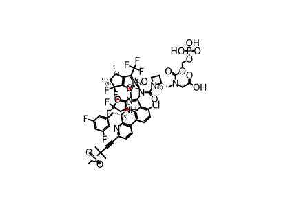 C[C@@H]1c2c(C(F)(F)F)nn(CC(=O)N[C@@H](Cc3cc(F)cc(F)c3)c3nc(C#CC(C)(C)S(C)(=O)=O)ccc3-c3ccc(Cl)c4c(N(C(=O)N5CC[C@@H]5CN(CC(=O)O)C(=O)OCOP(=O)(O)O)S(C)(=O)=O)nn(CC(F)(F)F)c34)c2C(F)(F)[C@@H]1C